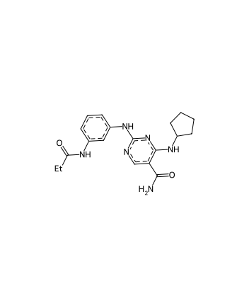 CCC(=O)Nc1cccc(Nc2ncc(C(N)=O)c(NC3CCCC3)n2)c1